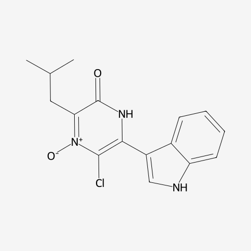 CC(C)Cc1c(=O)[nH]c(-c2c[nH]c3ccccc23)c(Cl)[n+]1[O-]